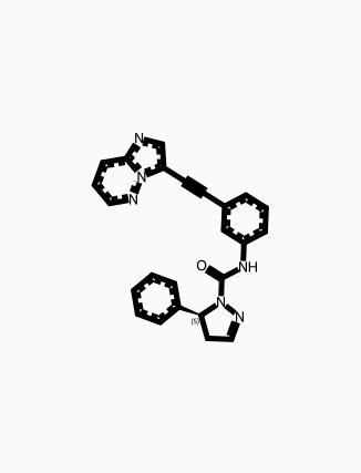 O=C(Nc1cccc(C#Cc2cnc3cccnn23)c1)N1N=CC[C@H]1c1ccccc1